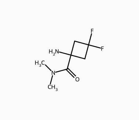 CN(C)C(=O)C1(N)CC(F)(F)C1